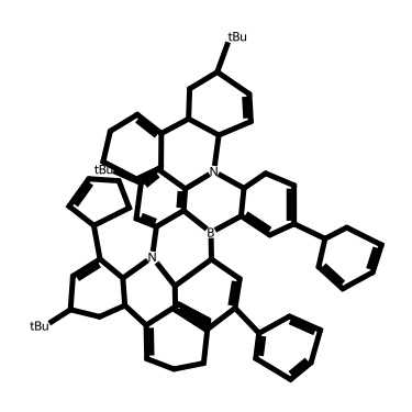 CC(C)(C)c1cc2c3c(c1)N(C1C(C4C=CCC4)=CC(C(C)(C)C)CC1C1=CCCCC1)C1C=CC(c4ccccc4)=CC1B3C1=CC(C3C=CC=CC3)=CCC1N2C1C=CC(C(C)(C)C)CC1C1=CCCCC1